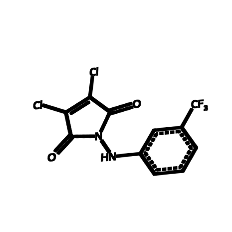 O=C1C(Cl)=C(Cl)C(=O)N1Nc1cccc(C(F)(F)F)c1